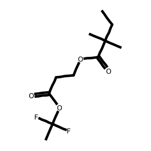 CCC(C)(C)C(=O)OCCC(=O)OC(C)(F)F